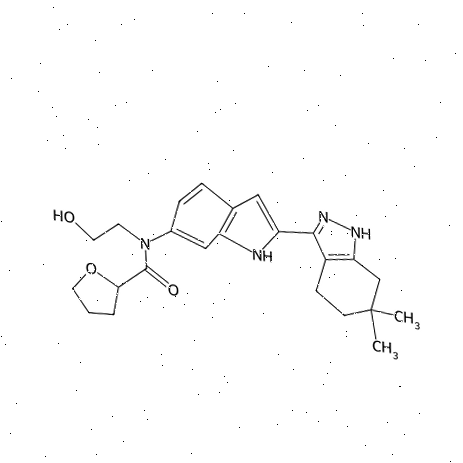 CC1(C)CCc2c(-c3cc4ccc(N(CCO)C(=O)C5CCCO5)cc4[nH]3)n[nH]c2C1